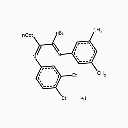 CCCCCCCCC(=Nc1ccc(CC)c(CC)c1)C(CCCC)=Nc1cc(C)cc(C)c1.[Pd]